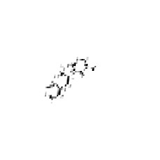 Clc1ccc2oc3cc4ccccc4cc3c2c1